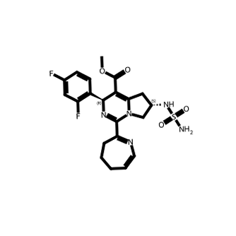 COC(=O)C1=C2C[C@H](NS(N)(=O)=O)CN2C(C2=NC=CCCC2)=N[C@H]1c1ccc(F)cc1F